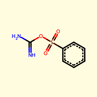 N=C(N)OS(=O)(=O)c1ccccc1